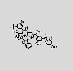 COC1C(C(O)NC(C(=O)O)C(NC(=O)CNC(O)c2cc(O)cc(NC3=NCC(O)CN3)c2)c2cc(Br)cc(C(C)(C)C)c2)=Nc2ccccc21